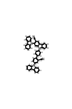 N#Cc1cc(-n2c3ccccc3c3ccccc32)ccc1-c1ccc(-n2c3ccccc3c3cc(C#N)c(-n4c5ccccc5c5ccccc54)cc32)cc1